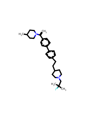 C=C(c1ccc(-c2ccc(CCC3CCN(CC(C)(C)F)CC3)cc2)cc1)N1CCC(C)CC1